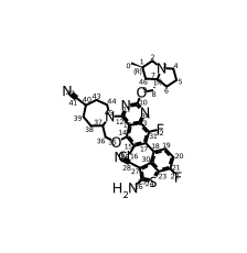 C[C@H]1CN2CCC[C@@]2(COc2nc3c4c(c(Cl)c(-c5ccc(F)c6sc(N)c(C#N)c56)c(F)c4n2)OCC2CCC(C#N)CCN32)C1